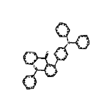 O=C(c1ccccc1)c1cccc(-c2ccc(N(c3ccccc3)c3ccccc3)cc2)c1C(=O)c1ccccc1